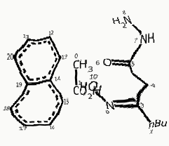 CC(=O)O.CCCCC(CC(=O)NN)=NO.c1ccc2ccccc2c1